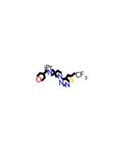 CC(C)C(C1CCOCC1)N1CC2(CCN(c3ncnc4sc(CC(F)(F)F)cc34)C2)C1